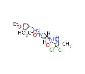 CCOc1ccc(Cc2nc(N3C[C@@H]4[C@H](C3)[C@H]4NC(=O)c3[nH]c(C)c(Cl)c3Cl)oc2C(=O)O)cc1